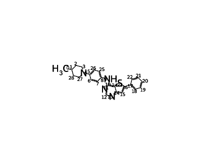 CC1CCN(c2ccc(Nc3ncnc4cc(-c5ccccc5)sc34)cc2)CC1